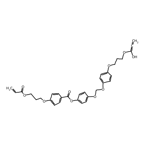 C=C=C(O)OCCCOc1ccc(OCOc2ccc(OC(=O)c3ccc(OCCCOC(=O)C=C)cc3)cc2)cc1